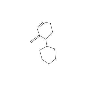 O=C1C=CCCC1C1CCCCC1